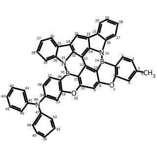 Cc1ccc2c(c1)Oc1cc3c4c5c1B2n1c2ccccc2c2cc6c7ccccc7n(c6c-5c21)B4c1ccc(N(c2ccccc2)c2ccccc2)cc1O3